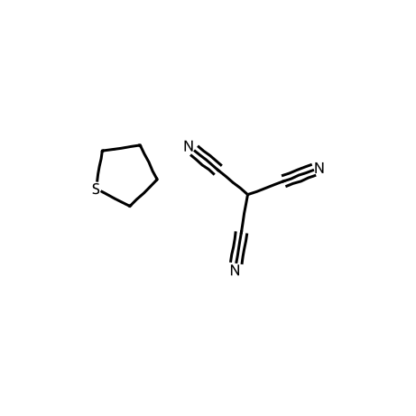 C1CCSC1.N#CC(C#N)C#N